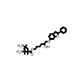 CC(C)(N)CC(C)(C(=O)OCCCCC(O)COc1ccc2cc(-c3ccccc3)oc2c1)C(C)(C)N